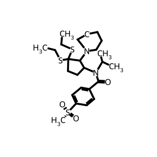 CCSC1(SCC)CCC(N(C(=O)c2ccc(S(C)(=O)=O)cc2)C(C)C)C1N1CCCCC1